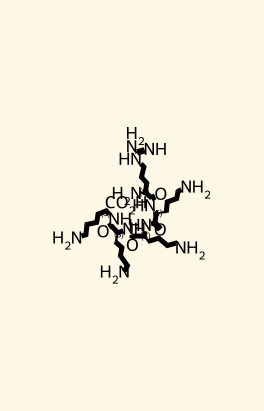 N=C(N)NCCC[C@H](N)C(=O)N[C@@H](CCCCN)C(=O)N[C@@H](CCCCN)C(=O)N[C@@H](CCCCN)C(=O)N[C@@H](CCCCN)C(=O)O